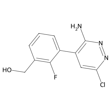 Nc1nnc(Cl)cc1-c1cccc(CO)c1F